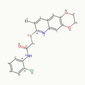 CCc1cc2cc3c(cc2nc1SCC(=O)Nc1ccccc1Cl)OCCO3